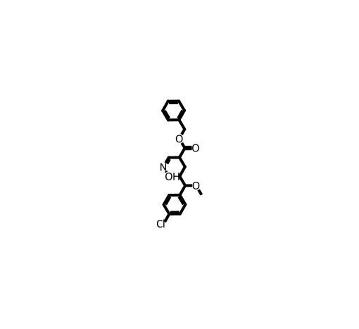 COC(CCC(/C=N\O)C(=O)OCc1ccccc1)c1ccc(Cl)cc1